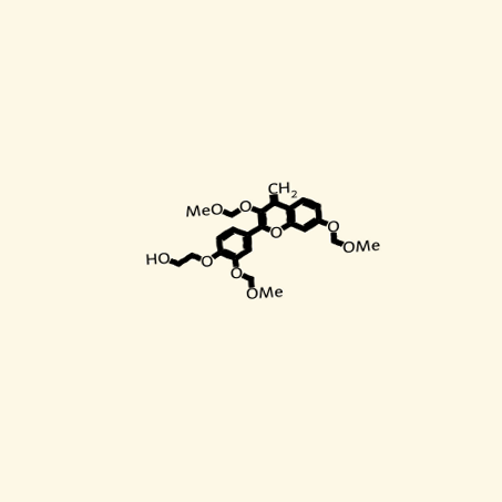 C=C1C(OCOC)=C(c2ccc(OCCO)c(OCOC)c2)Oc2cc(OCOC)ccc21